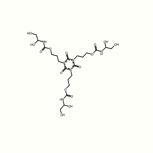 O=C(NC(O)CO)OCCCn1c(=O)n(CCCOC(=O)NC(O)CO)c(=O)n(CCCOC(=O)NC(O)CO)c1=O